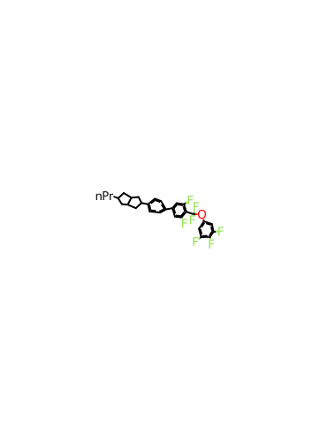 CCCC1CC2CC(c3ccc(-c4cc(F)c(C(F)(F)Oc5cc(F)c(F)c(F)c5)c(F)c4)cc3)CC2C1